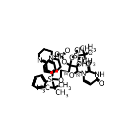 CC(C)(C)[Si](C)(C)OC1(O[PH](=O)O[N+]23CCCCCC2=NCCC3)C(O)[C@@H](n2ccc(=O)[nH]c2=O)O[C@H]1CO[Si](c1ccccc1)(c1ccccc1)C(C)(C)C